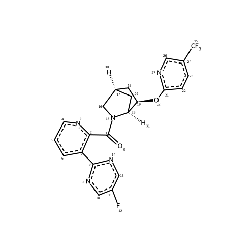 O=C(c1ncccc1-c1ncc(F)cn1)N1C[C@H]2C[C@@H](Oc3ccc(C(F)(F)F)cn3)[C@@H]1C2